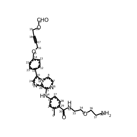 Cc1cc(Nc2nccn3c(-c4ccc(OCC#CCOC=O)cc4)cnc23)ccc1C(=O)NCCOCCN